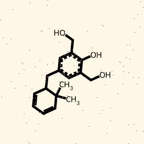 CC1(C)C=CC=CC1Cc1cc(CO)c(O)c(CO)c1